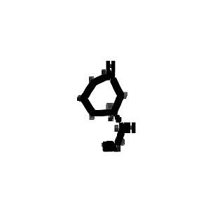 CC(C)(C)N[C@@H]1CCCNC1